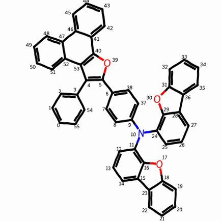 c1ccc(-c2c(-c3ccc(N(c4cccc5c4oc4ccccc45)c4cccc5c4oc4ccccc45)cc3)oc3c4ccccc4c4ccccc4c23)cc1